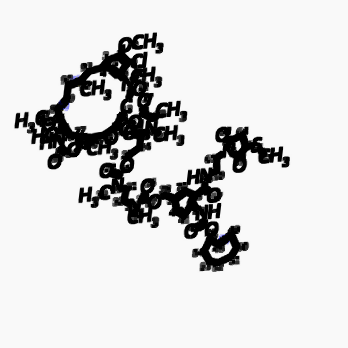 COc1cc2cc(c1Cl)N(C)C(=O)C[C@H](OC(=O)[C@H](C)N(C)C(=O)CCOC(=O)N(C)CCN(C)C(=O)OCc1ccc(NC(=O)OC3/C=C/CCCCC3)c(C(=O)NCCN3C(=O)CC(SC)C3=O)c1)[C@]1(C)OC1[C@H](C)[C@@H]1C[C@@](O)(NC(=O)O1)[C@H](OC)/C=C/C=C(\C)C2